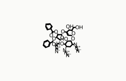 [N-]=[N+]=NC[C@H]1O[C@@H](OC2=C[C@@H](O[C@@H]3C(N=[N+]=[N-])C[C@@H](N=[N+]=[N-])C(O)C3O)OC(CO)[C@H]2O)C(OC(=O)c2ccccc2)C1OC(=O)c1ccccc1